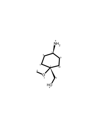 CO[C@]1(CO)CC[C@@H](N)CC1